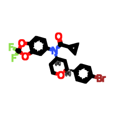 O=C(C1CC1)N(c1ccc2c(c1)OC(F)(F)O2)[C@@H]1CCO[C@@H](c2ccc(Br)cc2)C1